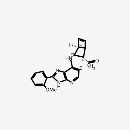 COc1ccccc1-c1nc2c(N[C@@H]3[C@H]4C=CC4[C@@H]3C(N)=O)c(Cl)cnc2[nH]1